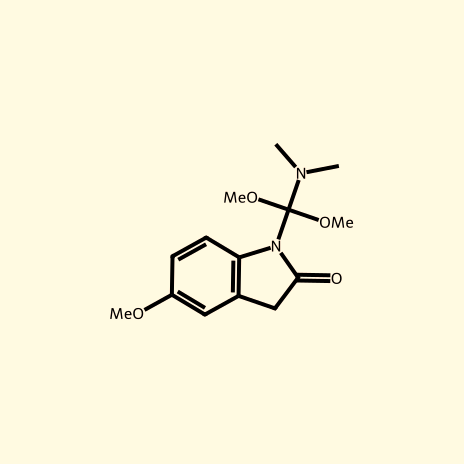 COc1ccc2c(c1)CC(=O)N2C(OC)(OC)N(C)C